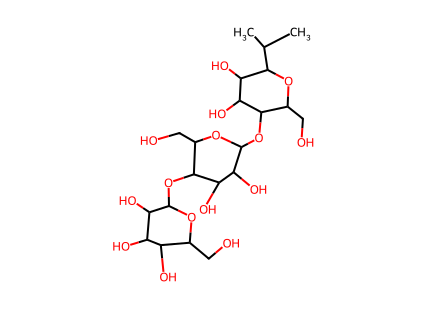 CC(C)C1OC(CO)C(OC2OC(CO)C(OC3OC(CO)C(O)C(O)C3O)C(O)C2O)C(O)C1O